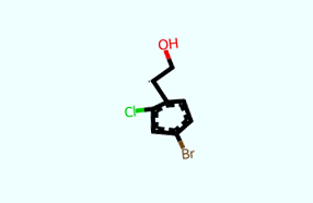 OC[CH]c1ccc(Br)cc1Cl